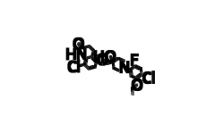 CCOc1cc(N2CCC(O)(COc3ccc(Cl)c4c3CCC(=O)N4)CC2)c(F)cc1Cl